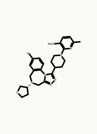 COc1ccc(C)nc1N1CCC(c2nnc3n2-c2ccc(Cl)cc2CN([C@@H]2CCOC2)C3)CC1